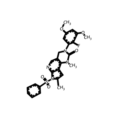 COc1cc(OC)c(F)c(N2Cc3cnc4c(cc(C)n4S(=O)(=O)c4ccccc4)c3N(C)C2=O)c1